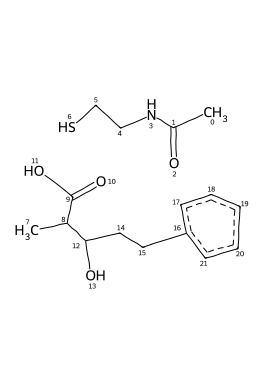 CC(=O)NCCS.CC(C(=O)O)C(O)CCc1ccccc1